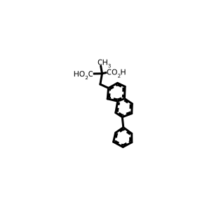 CC(Cc1ccc2ccc(-c3ccccc3)cc2c1)(C(=O)O)C(=O)O